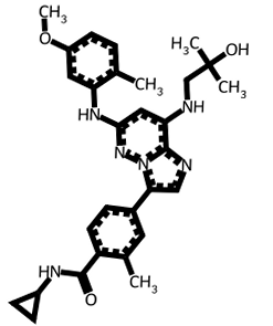 COc1ccc(C)c(Nc2cc(NCC(C)(C)O)c3ncc(-c4ccc(C(=O)NC5CC5)c(C)c4)n3n2)c1